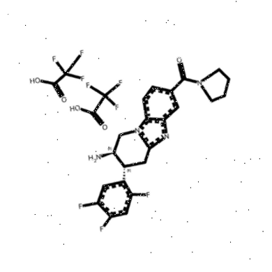 N[C@H]1Cn2c(nc3cc(C(=O)N4CCCC4)ccc32)C[C@@H]1c1cc(F)c(F)cc1F.O=C(O)C(F)(F)F.O=C(O)C(F)(F)F